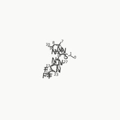 CCSc1nn2c(C)cc(C)nc2c1-c1nc2cc(C(F)(F)F)cnc2n1C